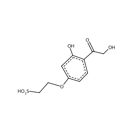 O=C(CO)c1ccc(OCCS(=O)(=O)O)cc1O